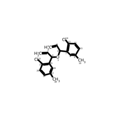 C=CC(OC(C=C)c1cc(C)ccc1Cl)c1cc(C)ccc1Cl